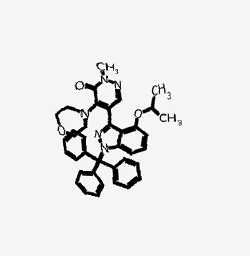 CC(C)Oc1cccc2c1c(-c1cnn(C)c(=O)c1N1CCOCC1)nn2C(c1ccccc1)(c1ccccc1)c1ccccc1